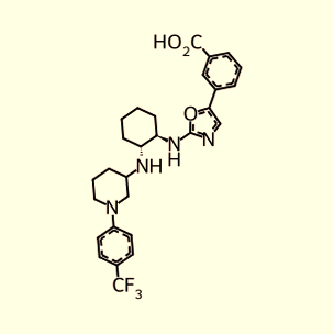 O=C(O)c1cccc(-c2cnc(N[C@@H]3CCCC[C@H]3NC3CCCN(c4ccc(C(F)(F)F)cc4)C3)o2)c1